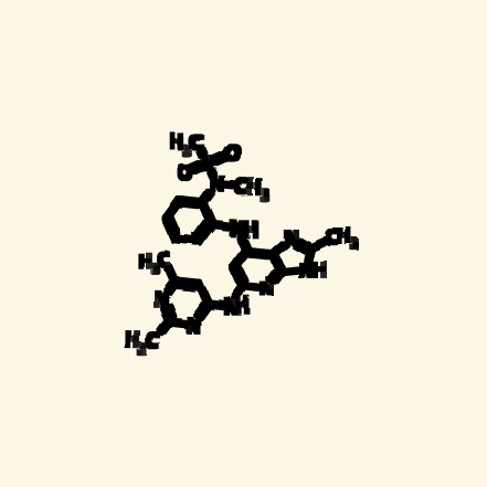 Cc1cc(Nc2cc(Nc3ccccc3N(C)S(C)(=O)=O)c3nc(C)[nH]c3n2)nc(C)n1